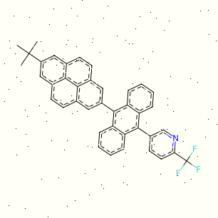 CC(C)(C)c1cc2ccc3cc(-c4c5ccccc5c(-c5ccc(C(F)(F)F)nc5)c5ccccc45)cc4ccc(c1)c2c34